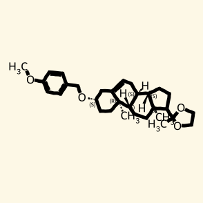 COc1ccc(CO[C@H]2CC[C@@]3(C)C(=CC[C@@H]4[C@@H]3CC[C@]3(C)C(C5(C)OCCO5)CC[C@@H]43)C2)cc1